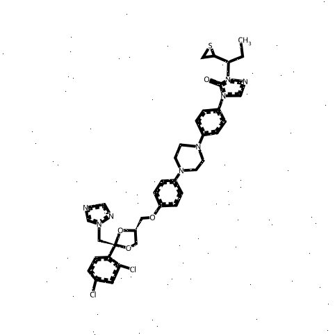 CCC(C1CS1)n1ncn(-c2ccc(N3CCN(c4ccc(OC[C@H]5CO[C@](Cn6cncn6)(c6ccc(Cl)cc6Cl)O5)cc4)CC3)cc2)c1=O